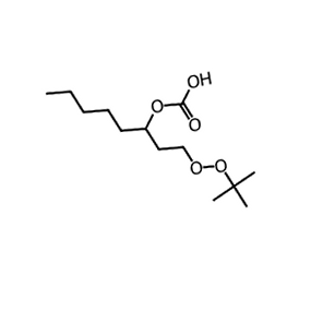 CCCCCC(CCOOC(C)(C)C)OC(=O)O